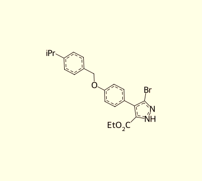 CCOC(=O)c1[nH]nc(Br)c1-c1ccc(OCc2ccc(C(C)C)cc2)cc1